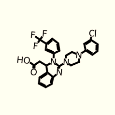 O=C(O)CC1c2ccccc2N=C(N2CCN(c3cccc(Cl)c3)CC2)N1c1cccc(C(F)(F)F)c1